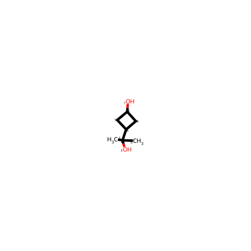 CC(C)(O)C1CC(O)C1